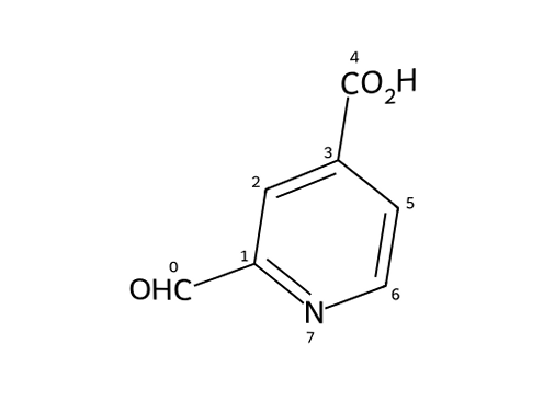 O=Cc1cc(C(=O)O)ccn1